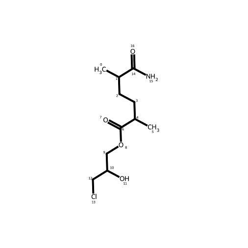 CC(CCC(C)C(=O)OCC(O)CCl)C(N)=O